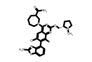 CN1CCC[C@H]1COc1nc(N2CCCCC(C(N)=O)C2)c2cc(Cl)c(-c3cccc4sc(N)nc34)c(F)c2n1